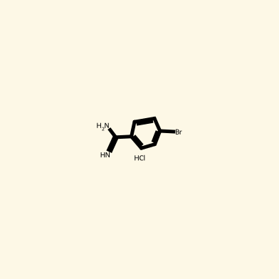 Cl.N=C(N)c1ccc(Br)cc1